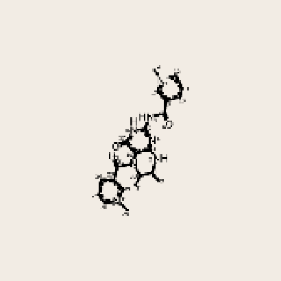 CC1Nc2nc(NC(=O)c3ccc[n+](C)c3)[nH]c(=O)c2N(C(=O)c2ccc[n+](C)c2)C1C